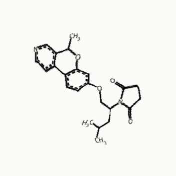 CC(C)C[C@@H](COc1ccc2c(c1)OC(C)c1cnccc1-2)N1C(=O)CCC1=O